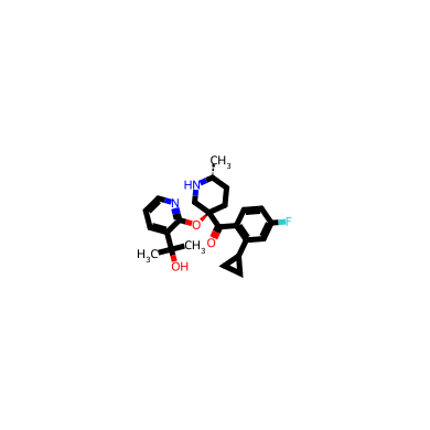 C[C@@H]1CC[C@](Oc2ncccc2C(C)(C)O)(C(=O)c2ccc(F)cc2C2CC2)CN1